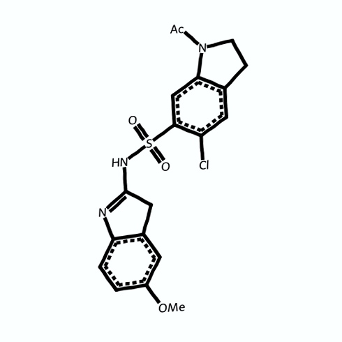 COc1ccc2c(c1)CC(NS(=O)(=O)c1cc3c(cc1Cl)CCN3C(C)=O)=N2